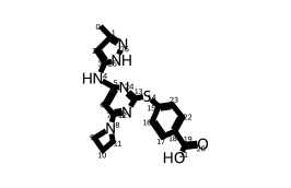 Cc1cc(Nc2cc(N3CCC3)nc(Sc3ccc(C(=O)O)cc3)n2)[nH]n1